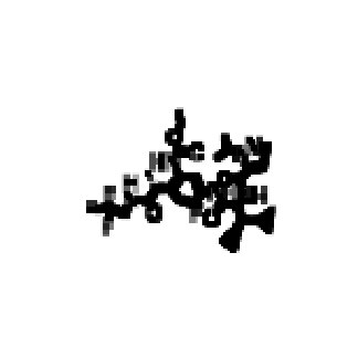 CCOC(=O)Nc1cc(NC(=O)[C@@H](NC(=O)c2ccnn2C(C)C)C(C2CC2)C2CC2)c(F)cc1[C@@H](C)C(=O)NCC(F)(F)F